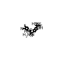 Cn1nc(C2CC3CC(O)(c4c[nH]nc4C(F)(F)F)CC3C2)c(C(=O)Nc2ccc(F)c(C#N)c2)c1N